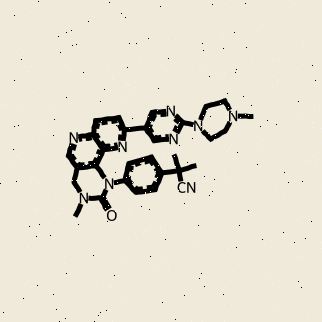 CN1CCN(c2ncc(-c3ccc4ncc5c(c4n3)N(c3ccc(C(C)(C)C#N)cc3)C(=O)N(C)C5)cn2)CC1